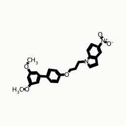 COc1cc(OC)cc(-c2ccc(OCCCn3ccc4cc([N+](=O)[O-])ccc43)cc2)c1